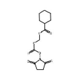 O=C(OCOC(=O)C1CCCCC1)ON1C(=O)CCC1=O